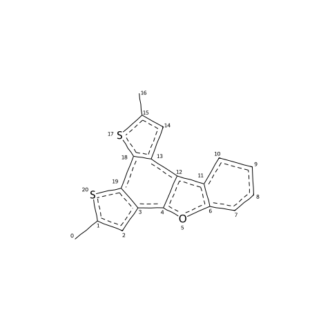 Cc1cc2c3oc4ccccc4c3c3cc(C)sc3c2s1